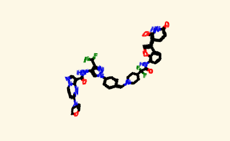 O=C1CCC(c2coc3c(NC(=O)C(F)(F)C4CCN(CC5CCC(n6cc(NC(=O)c7cnn8ccc(N9CC%10CC9CO%10)nc78)c(C(F)F)n6)CC5)CC4)cccc23)C(=O)N1